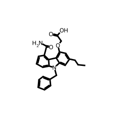 CCCc1cc(OCC(=O)O)c2c3c(C(N)=O)cccc3n(Cc3ccccc3)c2c1